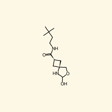 CC(C)(C)CCNC(=O)[C@H]1C[C@]2(COC(O)N2)C1